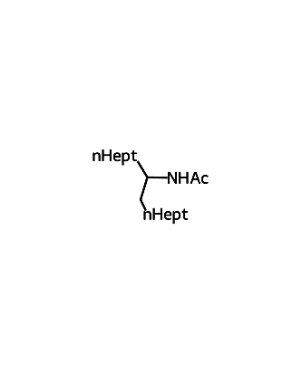 CCCCCCCCC(CCCCCCC)NC(C)=O